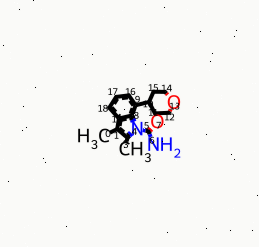 Cc1c(C)n(C(N)=O)c2c(C3CCOCC3)cccc12